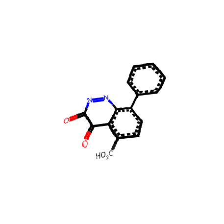 O=C1N=Nc2c(-c3ccccc3)ccc(C(=O)O)c2C1=O